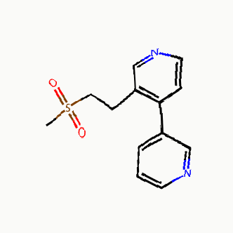 CS(=O)(=O)CCc1cnccc1-c1cccnc1